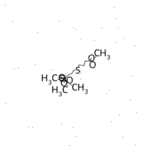 CCOC(=O)CCCSCCC[Si](OCC)(OCC)OCC